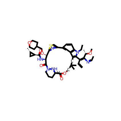 C=C/C(=C(\N=C/C)[C@H](C)OC)c1c2c3cc(ccc3n1CC)-c1csc(n1)[C@@H](OCC1CCOCC1)[C@H](NC(=O)[C@H]1C[C@@H]1C)C(=O)N1CCC[C@H](N1)C(=O)OCC(C)(C)C2